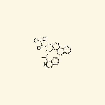 CC(C)c1nccc2ccccc12.O=C(C(Cl)Cl)C1CCc2c(ccc3c2ccc2ccccc23)C1